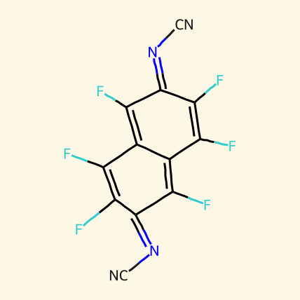 N#CN=C1C(F)=C(F)C2=C(F)C(=NC#N)C(F)=C(F)C2=C1F